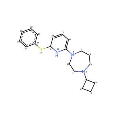 [C]1=C(N2CCCN(C3CCC3)CC2)NC(Sc2ccccc2)C=C1